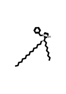 CCCCCCCCCCCCCCC[C@H](CCCCCCCC)c1[nH]cc[n+]1Cc1ccccc1